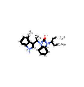 COCC(CC(=O)O)n1c(=O)n(C(C)c2c[nH]c3cccc(C)c23)c2ccccc21